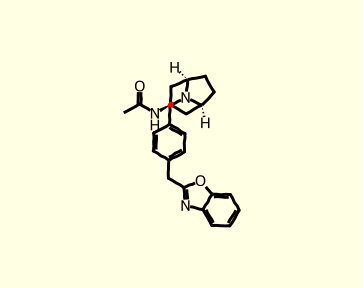 CC(=O)N[C@H]1C[C@H]2CC[C@@H](C1)N2Cc1ccc(Cc2nc3ccccc3o2)cc1